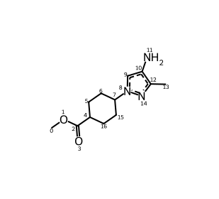 COC(=O)C1CCC(n2cc(N)c(C)n2)CC1